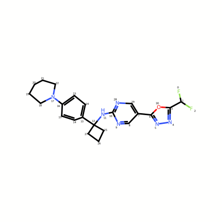 FC(F)c1nnc(-c2cnc(NC3(c4ccc(N5CCCCC5)cc4)CCC3)nc2)o1